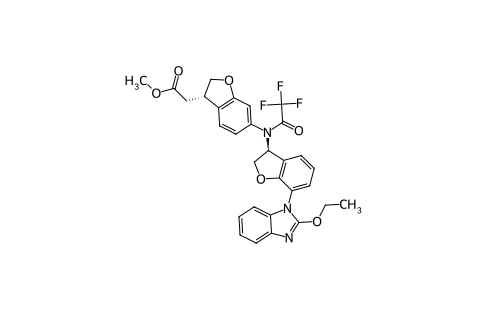 CCOc1nc2ccccc2n1-c1cccc2c1OC[C@H]2N(C(=O)C(F)(F)F)c1ccc2c(c1)OC[C@H]2CC(=O)OC